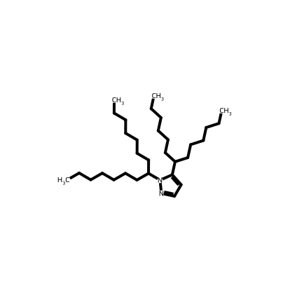 CCCCCCCC(CCCCCCC)n1nccc1C(CCCCCC)CCCCCC